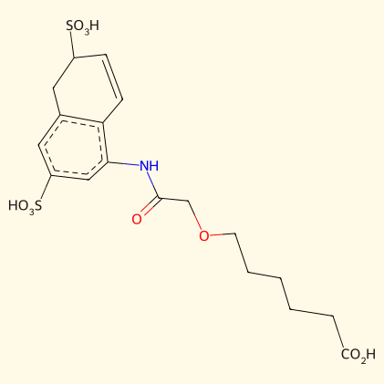 O=C(O)CCCCCOCC(=O)Nc1cc(S(=O)(=O)O)cc2c1C=CC(S(=O)(=O)O)C2